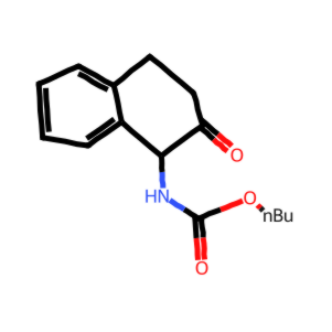 CCCCOC(=O)NC1C(=O)CCc2ccccc21